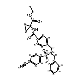 CCOC(=O)C1(NC(=O)c2ccc(CN(Cc3ccccn3)S(=O)(=O)c3ccc(C#N)cc3)cc2)CC1